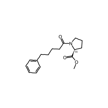 COC(=O)[C@@H]1CCCN1C(=O)CCCCc1ccccc1